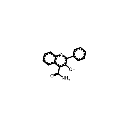 NC(=O)c1c(O)c(-c2ccccc2)nc2ccccc12